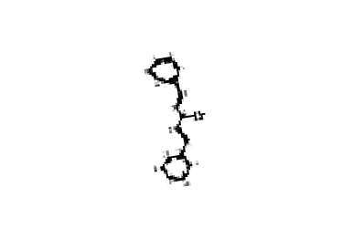 BrC(C=Cc1ccccc1)C=Cc1ccccc1